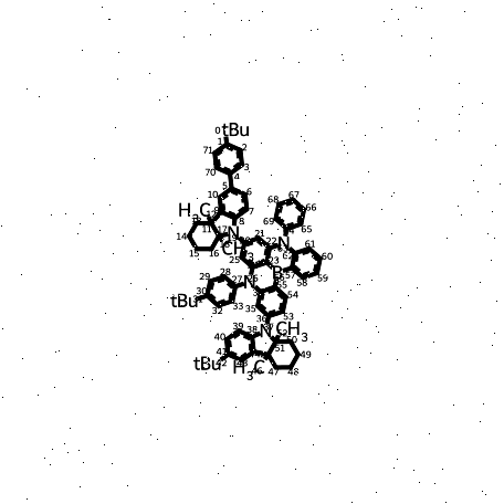 CC(C)(C)c1ccc(-c2ccc3c(c2)C2(C)CCCCC2(C)N3c2cc3c4c(c2)N(c2ccc(C(C)(C)C)cc2)c2cc(N5c6ccc(C(C)(C)C)cc6C6(C)CCCCC56C)ccc2B4c2ccccc2N3c2ccccc2)cc1